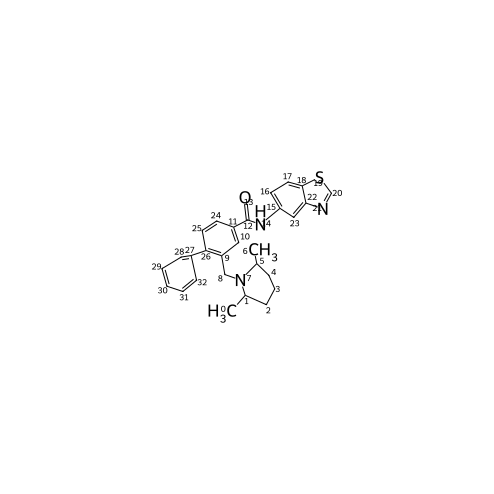 CC1CCCC(C)N1Cc1cc(C(=O)Nc2ccc3scnc3c2)ccc1-c1ccccc1